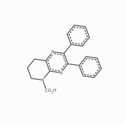 O=C(O)N1CCCc2nc(-c3ccccc3)c(-c3ccccc3)nc21